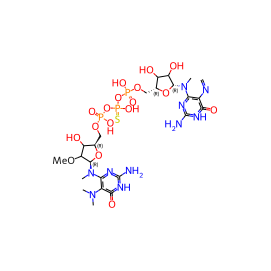 C=Nc1c(N(C)[C@@H]2O[C@H](COP(=O)(O)OP(O)(=S)OP(=O)(O)OC[C@H]3O[C@@H](N(C)c4nc(N)[nH]c(=O)c4N(C)C)C(OC)C3O)C(O)C2O)nc(N)[nH]c1=O